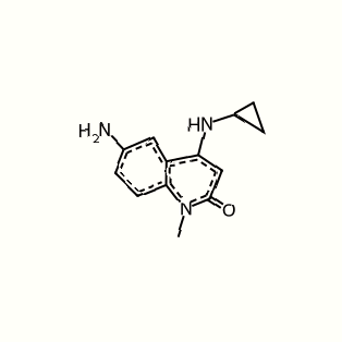 Cn1c(=O)cc(NC2CC2)c2cc(N)ccc21